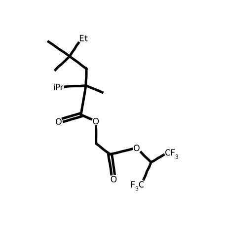 CCC(C)(C)CC(C)(C(=O)OCC(=O)OC(C(F)(F)F)C(F)(F)F)C(C)C